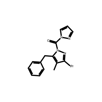 Cc1c(C(C)C)nn(C(=O)n2cccn2)c1Cc1ccccc1